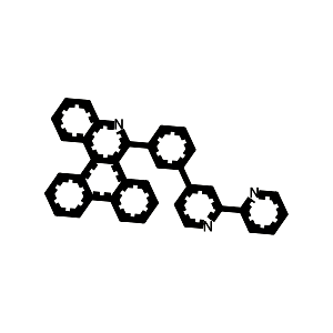 c1ccc(-c2cc(-c3cccc(-c4nc5ccccc5c5c6ccccc6c6ccccc6c45)c3)ccn2)nc1